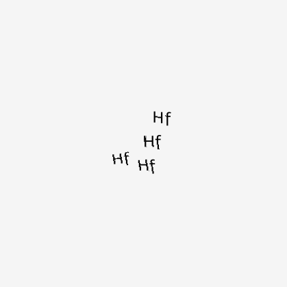 [Hf].[Hf].[Hf].[Hf]